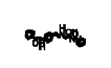 O=C(N[C@H](O)CNCCc1ccc(NC[C@H](O)c2ccccc2)cc1)c1ccccc1